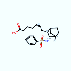 O=C(O)CCC/C=C\C[C@H]1C2CC[C@@H](C2)[C@@H]1NS(=O)(=O)c1ccccc1